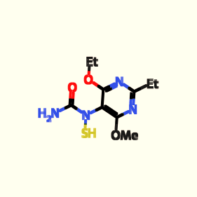 CCOc1nc(CC)nc(OC)c1N(S)C(N)=O